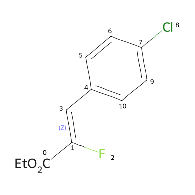 CCOC(=O)/C(F)=C/c1ccc(Cl)cc1